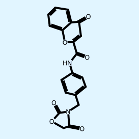 O=C(Nc1ccc(CN2C(=O)COC2=O)cc1)c1cc(=O)c2ccccc2o1